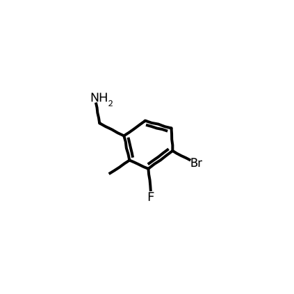 Cc1c(CN)ccc(Br)c1F